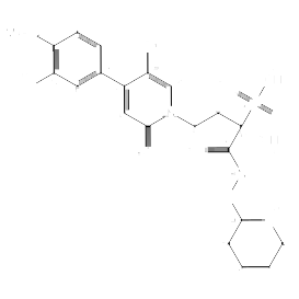 COc1ccc(-c2cc(=O)n(CC[C@](C)(C(=O)NOC3CCCCO3)S(C)(=O)=O)cc2F)cc1C